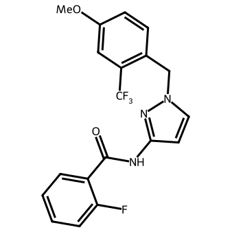 COc1ccc(Cn2ccc(NC(=O)c3ccccc3F)n2)c(C(F)(F)F)c1